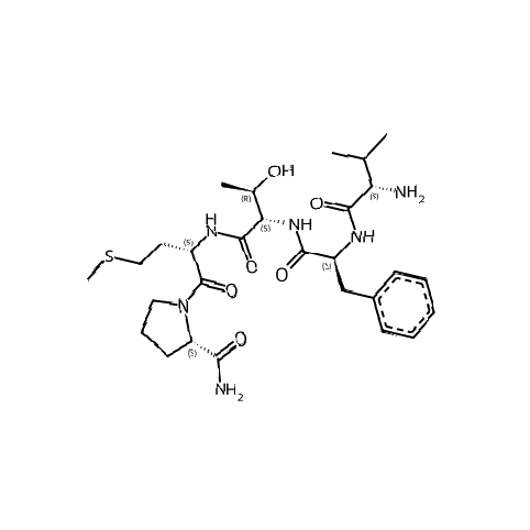 CSCC[C@H](NC(=O)[C@@H](NC(=O)[C@H](Cc1ccccc1)NC(=O)[C@@H](N)C(C)C)[C@@H](C)O)C(=O)N1CCC[C@H]1C(N)=O